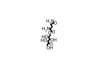 NC(=O)CC[C@H](N)C(=O)OC[C@@H](O)[C@@H](O)[C@H](O)C(=O)CO